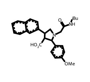 CCC(C)NC(=O)CN1CC(c2ccc3ccccc3c2)C(C(=O)O)C1c1ccc(OC)cc1